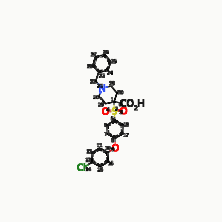 O=C(O)C1(S(=O)(=O)c2ccc(Oc3ccc(Cl)cc3)cc2)CCN(Cc2ccccc2)CC1